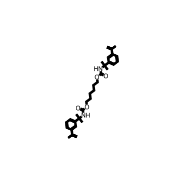 C=C(C)c1cccc(C(C)(C)NC(=O)OCCCCCCOC(=O)NC(C)(C)c2cccc(C(=C)C)c2)c1